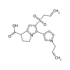 C=CCn1ccc(-c2c(S(=O)(=O)CC=C)cc3n2CCC3C(=O)O)c1